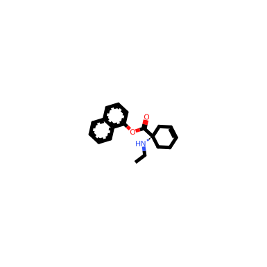 CCN[C@]1(C(=O)Oc2cccc3ccccc23)CC=CCC1